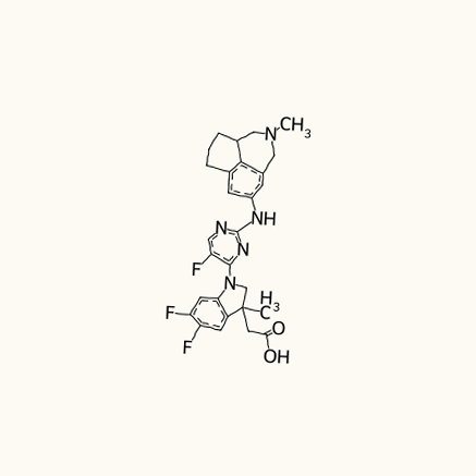 CN1Cc2cc(Nc3ncc(F)c(N4CC(C)(CC(=O)O)c5cc(F)c(F)cc54)n3)cc3c2C(CCC3)C1